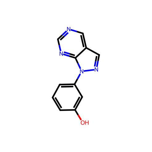 Oc1cccc(-n2ncc3cncnc32)c1